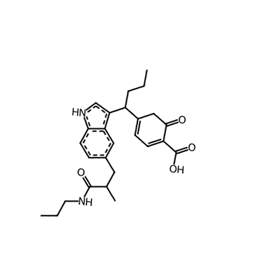 CCCNC(=O)C(C)Cc1ccc2[nH]cc(C(CCC)C3=CC=C(C(=O)O)C(=O)C3)c2c1